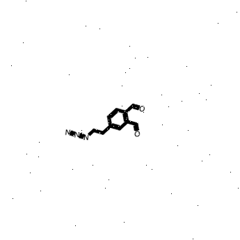 [N-]=[N+]=NCCc1ccc(C=O)c(C=O)c1